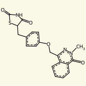 Cn1nc(COc2ccc(CC3SC(=O)NC3=O)cc2)c2ccccc2c1=O